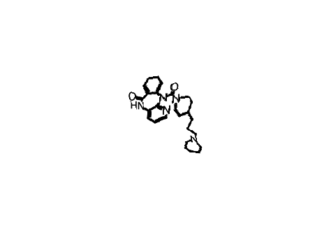 O=C1Nc2cccnc2N(C(=O)N2CCC(CCCN3CCCCC3)CC2)C2=CCCC=C12